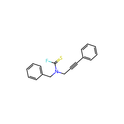 FC(=S)N(CC#Cc1ccccc1)Cc1ccccc1